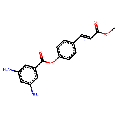 COC(=O)/C=C/c1ccc(OC(=O)c2cc(N)cc(N)c2)cc1